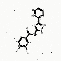 O=C(Nc1nc(-c2ccccn2)ns1)c1ccc(F)c(Cl)c1